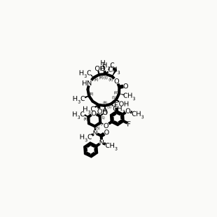 CC[C@H]1OC(=O)[C@H](C)[C@@H](O)[C@H](C)[C@@H](O[C@@H]2O[C@H](C)C[C@H](N(C)C(=O)N(C)c3ccccc3)[C@H]2Oc2cc(F)c(OC)c(F)c2)[C@](C)(O)C[C@@H](C)CN[C@H](C)[C@@H](O)[C@]1(C)O